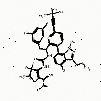 CSNc1nn(C)c2c(-c3ccc(C#CC(C)(C)N)nc3C(Cc3cc(F)cc(F)c3)NC(=O)NC3=C(C(=N)C(F)F)C[C@@H](C)C3(F)F)ccc(Cl)c12